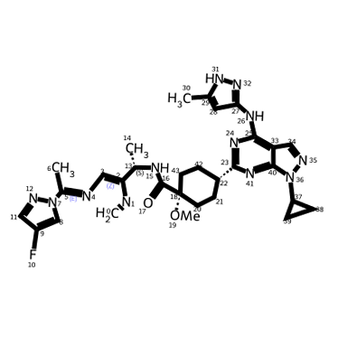 C=N/C(=C\N=C(/C)n1cc(F)cn1)[C@H](C)NC(=O)[C@]1(OC)CC[C@@H](c2nc(Nc3cc(C)[nH]n3)c3cnn(C4CC4)c3n2)CC1